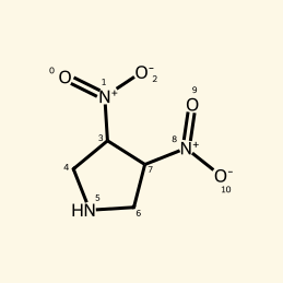 O=[N+]([O-])C1CNCC1[N+](=O)[O-]